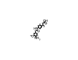 COc1cc(CC(=O)Nc2ccc(C(C)CC(=O)O)cc2)ccc1N